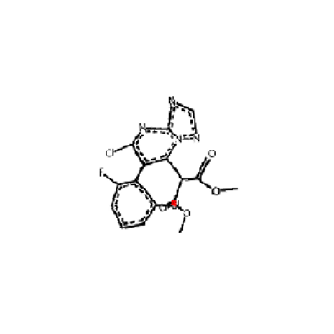 COC(=O)C(C(=O)OC)c1c(-c2c(F)cccc2Cl)c(Cl)nc2ncnn12